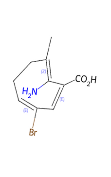 C\C1=C(N)/C(C(=O)O)=C\C(Br)=C/CC1